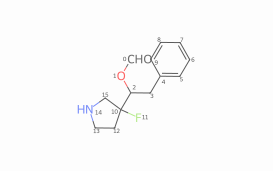 O=COC(Cc1ccccc1)C1(F)CCNC1